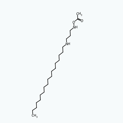 CCCCCCCCCCCCCCCCCCNCCCNOC(C)=O